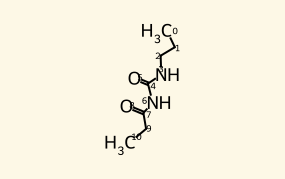 CCCNC(=O)NC(=O)CC